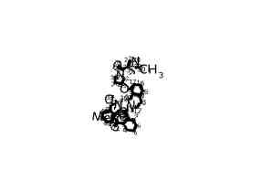 CNC(=O)C1CCCCC1C(=O)N1CCc2cccc(OC3CCN(C(=O)c4cnc(C)s4)C3)c2[C@H]1CN1C(=O)c2ccccc2C1=O